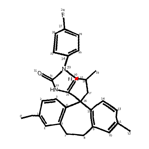 Cc1ccc2c(c1)CCc1cc(C)ccc1C2(CC(C)N)c1nn(-c2ccc(F)cc2)c(=O)[nH]1